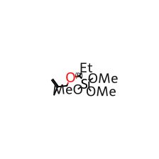 C=C(C)CO[C@@H](CC)[Si](OC)(OC)OC